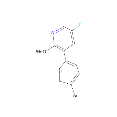 COc1ncc(F)cc1-c1ccc(C(C)=O)cc1